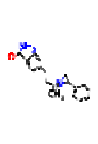 CC(CCc1ccc(C(N)=O)cc1)[N@@]1CC1c1ccccc1